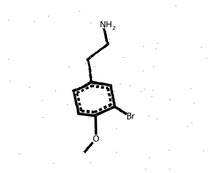 COc1ccc(CCN)cc1Br